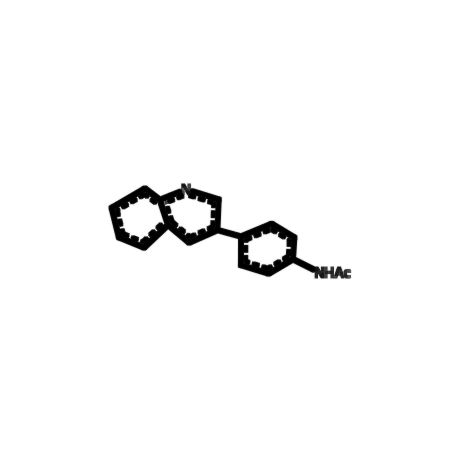 CC(=O)Nc1ccc(-c2cnc3ccccc3c2)cc1